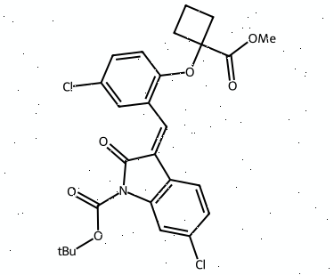 COC(=O)C1(Oc2ccc(Cl)cc2C=C2C(=O)N(C(=O)OC(C)(C)C)c3cc(Cl)ccc32)CCC1